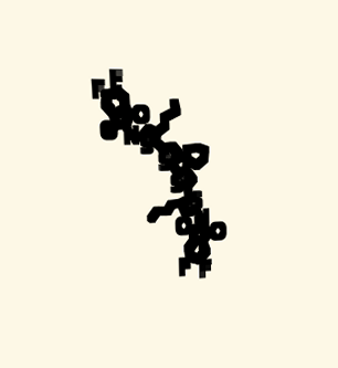 CCCCc1cc(N=c2c(=O)c3cc(F)c(F)cc3c2=O)sc1-c1cc2c(s1)-c1sc(-c3sc(N=c4c(=O)c5cc(F)c(F)cc5c4=O)cc3CCCC)cc1C21CCCCC1